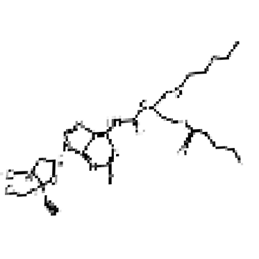 C#C[C@]1(CO)O[C@@H](n2cnc3c(NC(=O)OC(COCCCCC)COC(=O)CCCC)nc(F)nc32)C[C@@H]1O